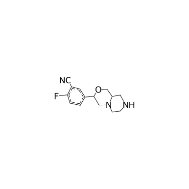 N#Cc1cc(C2CN3CCNCC3CO2)ccc1F